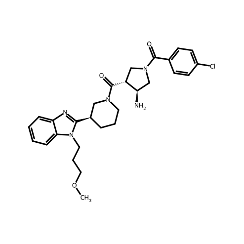 COCCCn1c([C@@H]2CCCN(C(=O)[C@@H]3CN(C(=O)c4ccc(Cl)cc4)C[C@H]3N)C2)nc2ccccc21